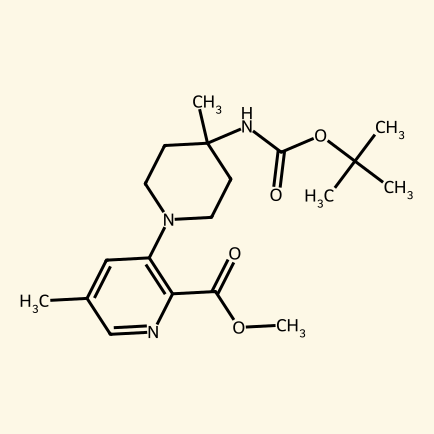 COC(=O)c1ncc(C)cc1N1CCC(C)(NC(=O)OC(C)(C)C)CC1